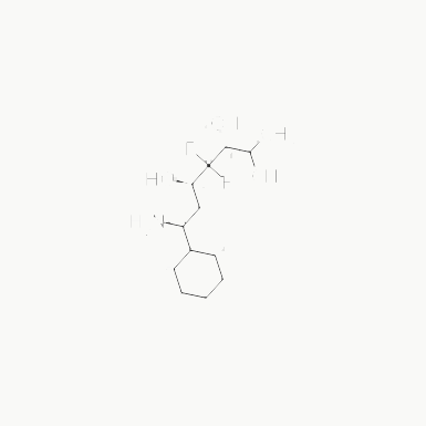 CC(C)[C@@H](O)C(F)(F)[C@H](O)CC(N)C1CCCCC1